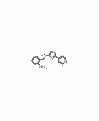 Nc1ccccc1CNc1csc(-c2ccncc2)n1